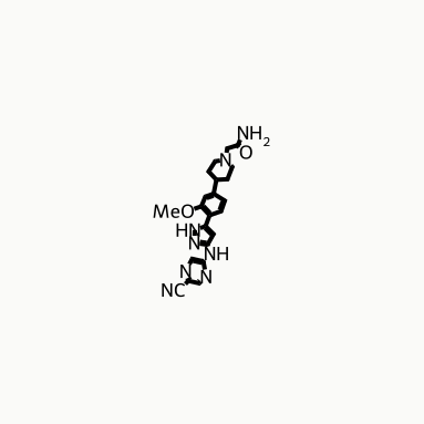 COc1cc(C2CCN(CC(N)=O)CC2)ccc1-c1cc(Nc2cnc(C#N)cn2)n[nH]1